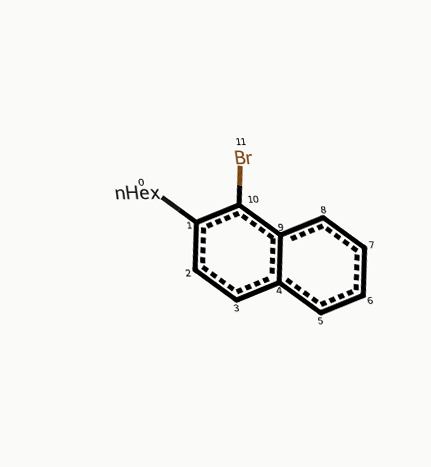 CCCCCCc1ccc2ccccc2c1Br